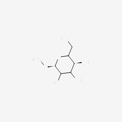 NO[C@H]1OC(CO)[C@@H](O)C(O)C1O